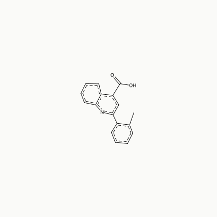 Cc1ccccc1-c1cc(C(=O)O)c2ccccc2n1